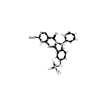 CSc1ncc2c(=O)n3c(nc2n1)c1cc(OS(=O)(=O)C(F)(F)F)ccc1n3-c1ccccn1